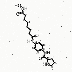 O=C(CCCCCCC(=O)Nc1ccc(NC(=O)C2CCCN2)cc1)NO